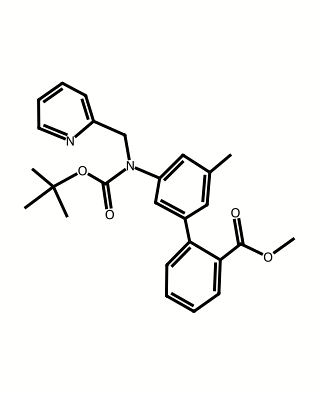 COC(=O)c1ccccc1-c1cc(C)cc(N(Cc2ccccn2)C(=O)OC(C)(C)C)c1